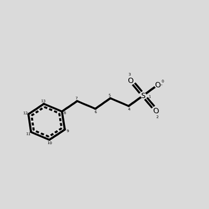 [O]S(=O)(=O)CCCCc1ccccc1